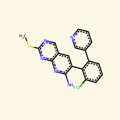 CSc1ncc2cc(-c3c(Cl)cccc3-c3cccnc3)c(N)nc2n1